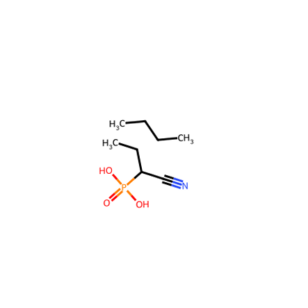 CCC(C#N)P(=O)(O)O.CCCC